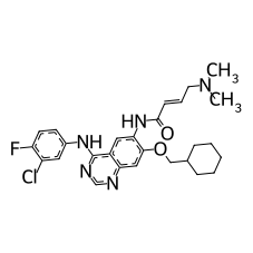 CN(C)CC=CC(=O)Nc1cc2c(Nc3ccc(F)c(Cl)c3)ncnc2cc1OCC1CCCCC1